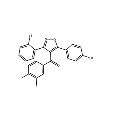 O=C(c1ccc(F)c(F)c1)c1c(-c2ccccc2Cl)nsc1-c1ccc(O)cc1